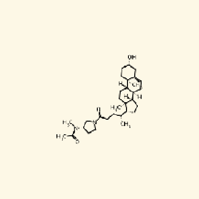 CC(=O)N(C)[C@H]1CCN(C(=O)CC[C@@H](C)[C@H]2CC[C@H]3[C@@H]4CC=C5C[C@@H](O)CC[C@]5(C)[C@H]4CC[C@]23C)C1